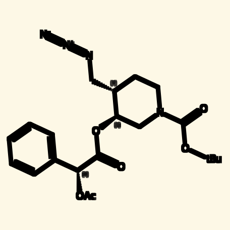 CC(=O)O[C@@H](C(=O)O[C@@H]1CN(C(=O)OC(C)(C)C)CC[C@H]1CN=[N+]=[N-])c1ccccc1